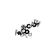 CC1(N2Cc3cc(Cl)ccc3-n3c(nnc3C3CCN(c4ccc(C(F)(F)F)c(F)n4)CC3)C2)CC(F)(F)C1